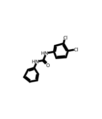 O=C(Nc1cc[c]cc1)Nc1ccc(Cl)c(Cl)c1